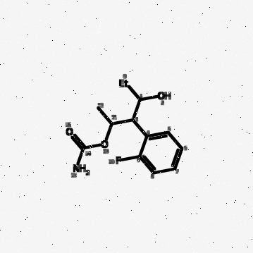 CCC(O)C(c1ccccc1F)C(C)OC(N)=O